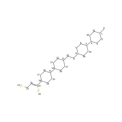 CC1CCC(C2CCC(CCC3CCC(C4CCC(/C(F)=C/CF)CC4)CC3)CC2)CC1